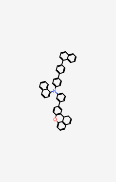 C1=Cc2cccc3c2C(C1)c1cc(-c2cccc(N(c4ccc(-c5ccc(-c6cccc7ccccc67)cc5)cc4)c4cccc5ccccc45)c2)ccc1O3